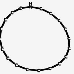 C1CCCCCCCCCNCCCCCCCCC1